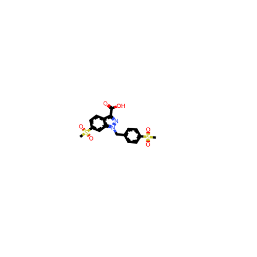 CS(=O)(=O)c1ccc(Cn2nc(C(=O)O)c3ccc(S(C)(=O)=O)cc32)cc1